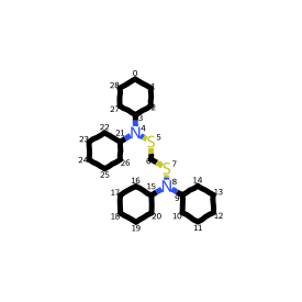 C1CCC(N(SCSN(C2CCCCC2)C2CCCCC2)C2CCCCC2)CC1